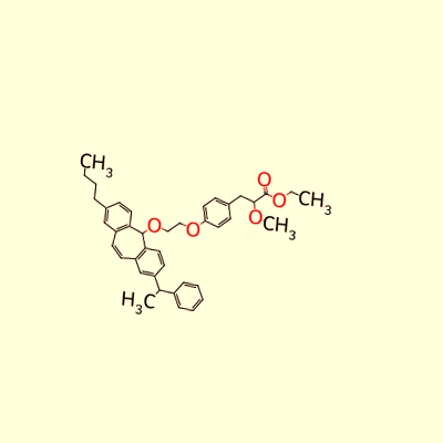 CCCCc1ccc2c(c1)C=Cc1cc(C(C)c3ccccc3)ccc1C2OCCOc1ccc(CC(OC)C(=O)OCC)cc1